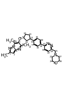 Cc1cc2nc(C)c(O[C@@H]3CCC(c4ccc(-c5ccc(CN6CCOCC6)nn5)cc4)C3)c(C)n2n1